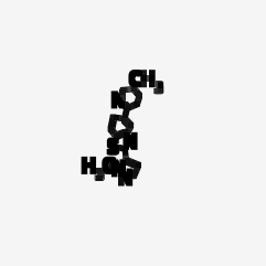 C[C@H]1CCC(c2ccc3sc(-c4ccnn4C)nc3c2)=NC1